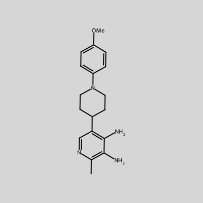 COc1ccc(N2CCC(c3cnc(C)c(N)c3N)CC2)cc1